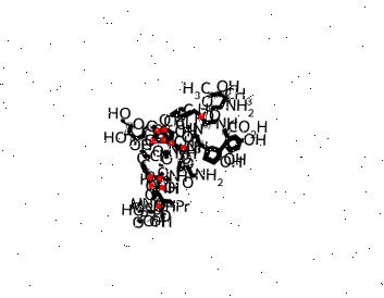 CN[C@H](CC(C)C)C(=O)N[C@H]1C(=O)N[C@@H](CC(N)=O)C(=O)N[C@H]2C(=O)N[C@H]3C(=O)N[C@H](C(=O)N[C@H](C(=O)O)c4cc(O)cc(O)c4-c4cc3ccc4O)[C@H](O[C@H]3C[C@](C)(N)[C@@H](O)[C@H](C)O3)c3ccc(c(Cl)c3)Oc3cc2cc(c3O[C@@H]2O[C@H](CO)[C@@H](O)[C@H](O)[C@H]2O[C@H]2C[C@](C)(NC(=O)OCOC(=O)CCC(=O)NC(P(=O)(O)O)P(=O)(O)O)[C@@H](O)[C@H](C)O2)Oc2ccc(cc2Cl)[C@H]1O